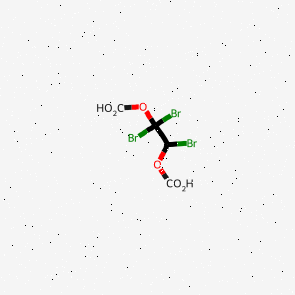 O=C(O)OC(Br)C(Br)(Br)OC(=O)O